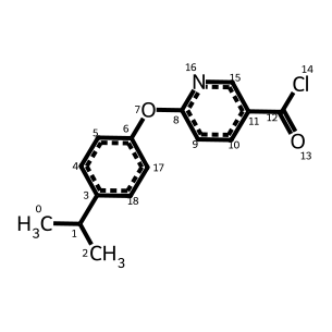 CC(C)c1ccc(Oc2ccc(C(=O)Cl)cn2)cc1